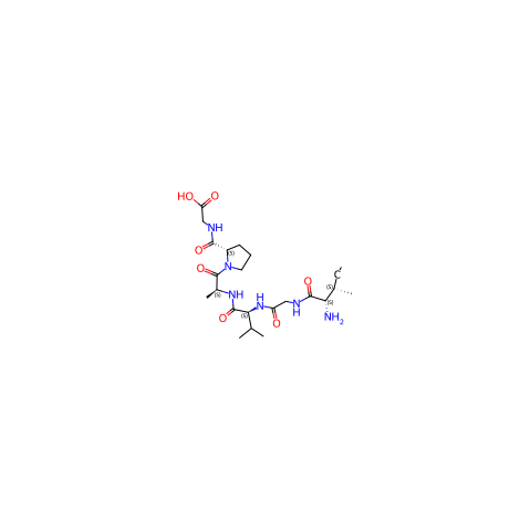 CC[C@H](C)[C@H](N)C(=O)NCC(=O)N[C@H](C(=O)N[C@@H](C)C(=O)N1CCC[C@H]1C(=O)NCC(=O)O)C(C)C